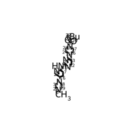 CN1CCN(c2ccc(Nc3nccc(N4CCN(C(=O)OC(C)(C)C)CC4)n3)nc2)CC1